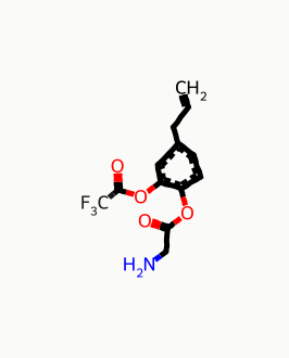 C=CCc1ccc(OC(=O)CN)c(OC(=O)C(F)(F)F)c1